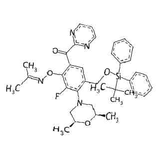 CC(C)=NOc1c(C(=O)c2ncccn2)cc(CO[Si](c2ccccc2)(c2ccccc2)C(C)(C)C)c(N2C[C@@H](C)O[C@@H](C)C2)c1F